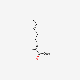 CC=CCCC=C(C)C(=O)OC